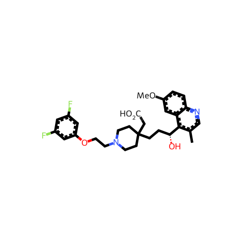 COc1ccc2ncc(C)c([C@H](O)CCC3(CC(=O)O)CCN(CCOc4cc(F)cc(F)c4)CC3)c2c1